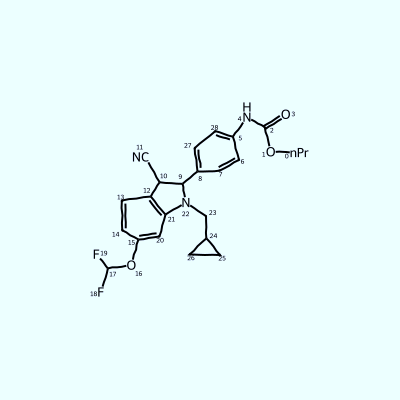 CCCOC(=O)Nc1ccc(C2C(C#N)c3ccc(OC(F)F)cc3N2CC2CC2)cc1